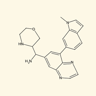 Cn1ccc2ccc(-c3cc(C(N)C4COCCN4)cc4nccnc34)cc21